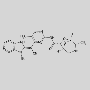 CCN1C(=C(C#N)c2nc(NC(=O)[C@@H]3O[C@@H]4O[C@H]3CN[C@H]4C)ncc2C)Nc2ccccc21